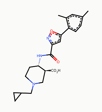 Cc1ccc(-c2cc(C(=O)N[C@H]3CCN(CC4CC4)C[C@@H]3C(=O)O)no2)c(C)c1